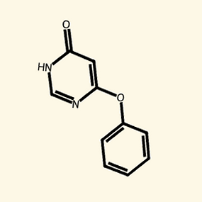 O=c1cc(Oc2ccccc2)nc[nH]1